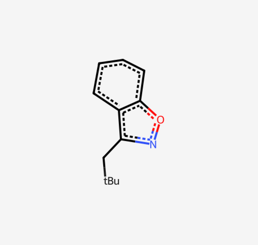 CC(C)(C)Cc1noc2ccccc12